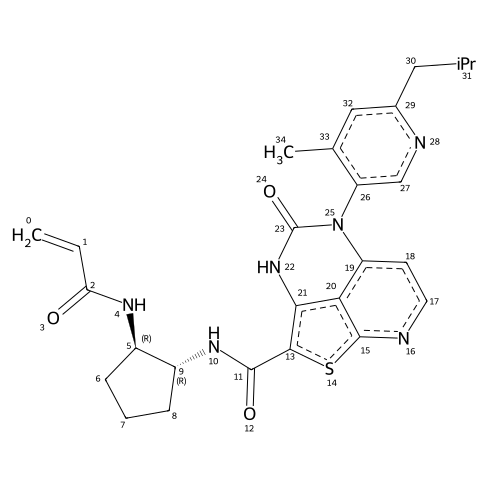 C=CC(=O)N[C@@H]1CCC[C@H]1NC(=O)c1sc2nccc3c2c1NC(=O)N3c1cnc(CC(C)C)cc1C